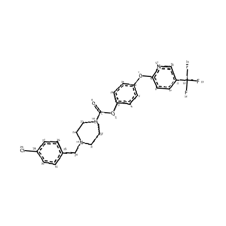 O=C(Oc1ccc(Oc2ccc(C(F)(F)F)cn2)cc1)N1CCN(Cc2ccc(Cl)cc2)CC1